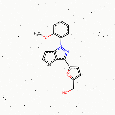 COc1ccccc1-n1nc(-c2ccc(CO)o2)c2[se]ccc21